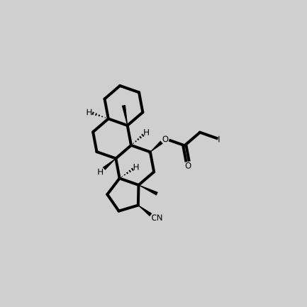 C[C@]12CCCC[C@@H]1CC[C@@H]1[C@@H]2[C@@H](OC(=O)CI)C[C@]2(C)[C@@H](C#N)CC[C@@H]12